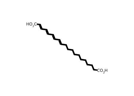 O=C(O)C=CC=CC=CC=CCCCCCCCCCCC(=O)O